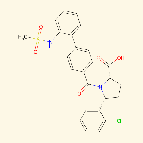 CS(=O)(=O)Nc1ccccc1-c1ccc(C(=O)N2[C@@H](c3ccccc3Cl)CC[C@H]2C(=O)O)cc1